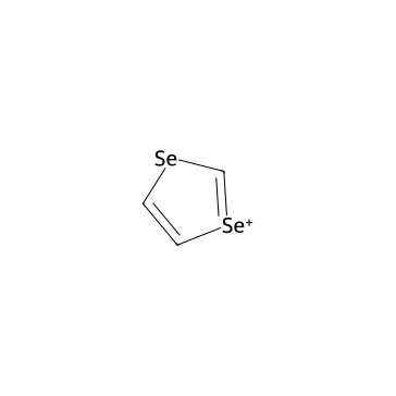 c1c[se+]c[se]1